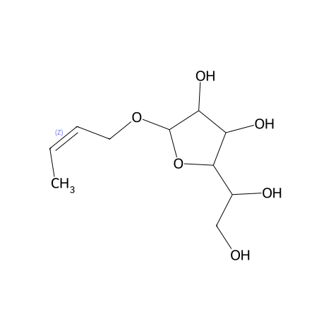 C/C=C\COC1OC(C(O)CO)C(O)C1O